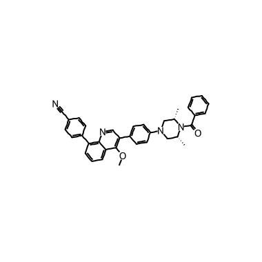 COc1c(-c2ccc(N3C[C@@H](C)N(C(=O)c4ccccc4)[C@@H](C)C3)cc2)cnc2c(-c3ccc(C#N)cc3)cccc12